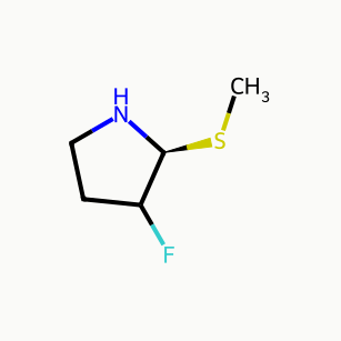 CS[C@@H]1NCCC1F